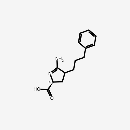 NC1=N[C@H](C(=O)O)CC1CCCc1ccccc1